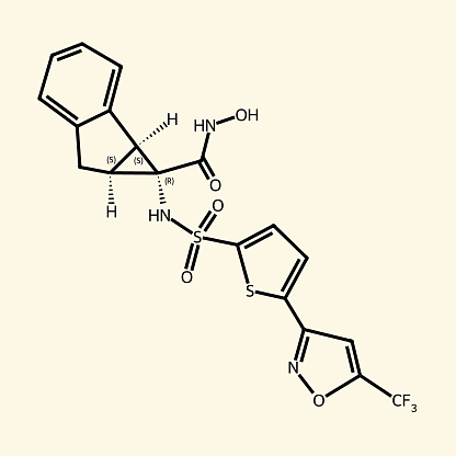 O=C(NO)[C@]1(NS(=O)(=O)c2ccc(-c3cc(C(F)(F)F)on3)s2)[C@@H]2c3ccccc3C[C@@H]21